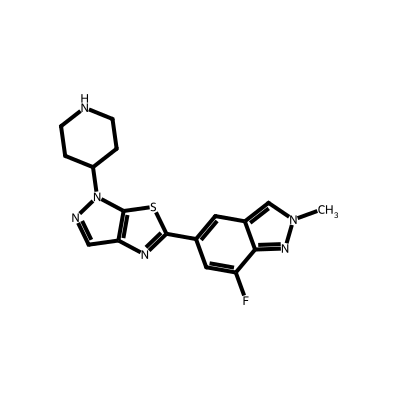 Cn1cc2cc(-c3nc4cnn(C5CCNCC5)c4s3)cc(F)c2n1